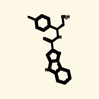 Cc1ccc([C@@H](CC(=O)O)NC(=O)c2cc3[nH]c4ccccc4n3n2)cc1